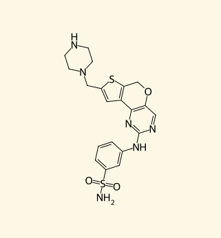 NS(=O)(=O)c1cccc(Nc2ncc3c(n2)-c2cc(CN4CCNCC4)sc2CO3)c1